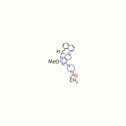 C=CC(=O)N1CCCN(c2nc(OC)nc3c2CCN(c2cccc4cccc(C)c24)C3)CC1